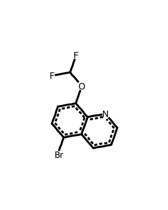 FC(F)Oc1ccc(Br)c2cccnc12